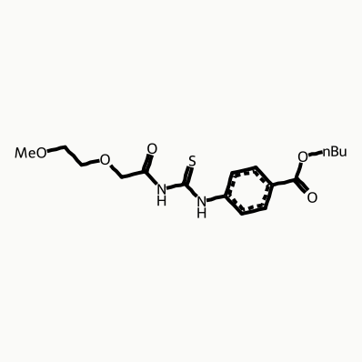 CCCCOC(=O)c1ccc(NC(=S)NC(=O)COCCOC)cc1